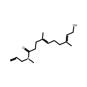 C=CCN(C)C(=O)CCC(C)=CCCC(C)=CCO